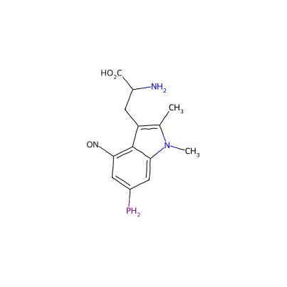 Cc1c(CC(N)C(=O)O)c2c(N=O)cc(P)cc2n1C